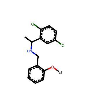 CCOc1ccccc1CNC(C)c1cc(Cl)ccc1Cl